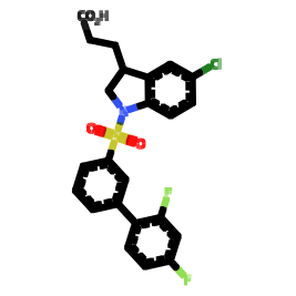 O=C(O)CCC1CN(S(=O)(=O)c2cccc(-c3ccc(F)cc3F)c2)c2ccc(Cl)cc21